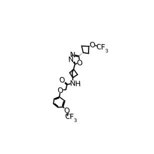 O=C(COc1cccc(OC(F)(F)F)c1)NC12CC(c3nnc([C@H]4C[C@@H](OC(F)(F)F)C4)o3)(C1)C2